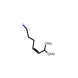 COC(/C=C\CCCI)OC